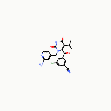 CC(C)c1c(C(=O)c2cc(Cl)cc(C#N)c2)n(Cc2ccnc(N)c2)c(=O)[nH]c1=O